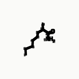 [CH2]C(CCCCCC)C(N)=O